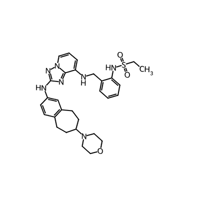 CCS(=O)(=O)Nc1ccccc1CNc1cccn2nc(Nc3ccc4c(c3)CCC(N3CCOCC3)CC4)nc12